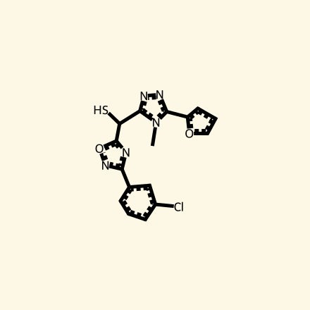 Cn1c(-c2ccco2)nnc1C(S)c1nc(-c2cccc(Cl)c2)no1